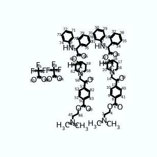 CN(C)CCOC(=O)c1ccc(C(=O)C[N+]23CCC(CC2)[C@@H](OC(=O)[C@H](Nc2ccccc2)c2ccccc2)C3)cc1.CN(C)CCOC(=O)c1ccc(C(=O)C[N+]23CCC(CC2)[C@@H](OC(=O)[C@H](Nc2ccccc2)c2ccccc2)C3)cc1.O=C([O-])C(F)(F)F.O=C([O-])C(F)(F)F